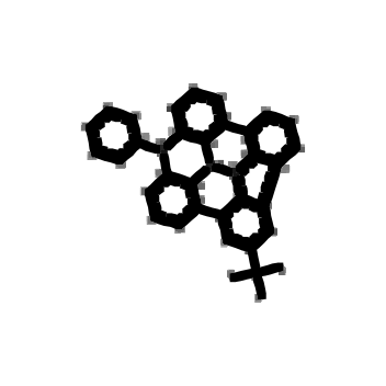 CC(C)(C)c1cc2c3c(c1)c1cccc4c1n3B1c3c-4cccc3N(c3ccccc3)c3cccc-2c31